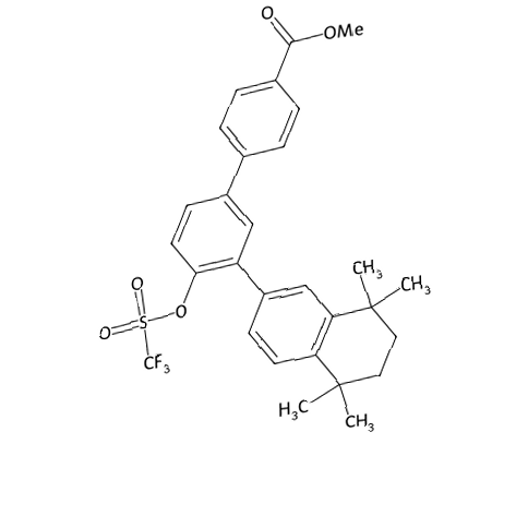 COC(=O)c1ccc(-c2ccc(OS(=O)(=O)C(F)(F)F)c(-c3ccc4c(c3)C(C)(C)CCC4(C)C)c2)cc1